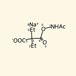 CCC(CC)(C(=O)[O-])C(=O)ONC(C)=O.[Na+]